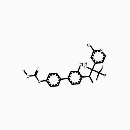 COC(=O)Oc1ccc(-c2ccc(C(C)C(O)(c3ccnc(Cl)c3)C(F)(F)F)c(Cl)c2)cc1